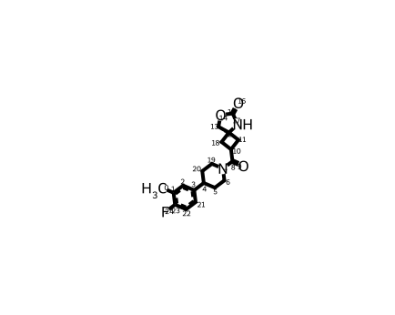 Cc1cc(C2CCN(C(=O)C3CC4(COC(=O)N4)C3)CC2)ccc1F